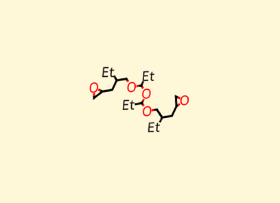 CCC(COC(CC)OC(CC)OCC(CC)CC1CO1)CC1CO1